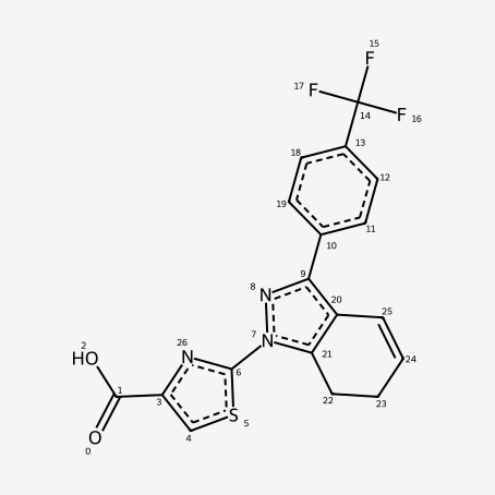 O=C(O)c1csc(-n2nc(-c3ccc(C(F)(F)F)cc3)c3c2CCC=C3)n1